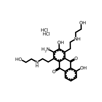 Cl.Cl.Nc1c(O)c(CCNCCO)c2c(c1CCNCCO)C(=O)c1cccc(O)c1C2=O